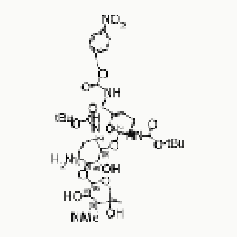 CN[C@@H]1[C@@H](O)[C@@H](O[C@@H]2[C@@H](O)[C@H](O[C@H]3OC(CNC(=O)OCc4ccc([N+](=O)[O-])cc4)=CC[C@H]3NC(=O)OC(C)(C)C)[C@@H](NC(=O)OC(C)(C)C)C[C@H]2N)OC[C@]1(C)O